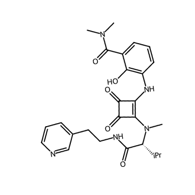 CC(C)[C@H](C(=O)NCCc1cccnc1)N(C)c1c(Nc2cccc(C(=O)N(C)C)c2O)c(=O)c1=O